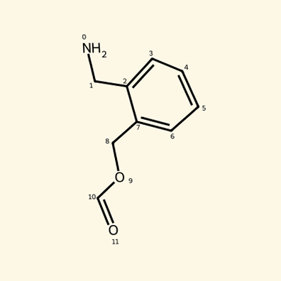 NCc1ccccc1COC=O